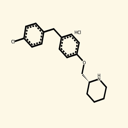 Cl.Clc1ccc(Cc2ccc(OC[C@H]3CCCCN3)cc2)cc1